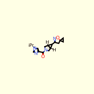 CC(C)n1cnc(C(=O)N2C[C@@H]3C(C4=NOC5(CC5)C4)[C@@H]3C2)c1